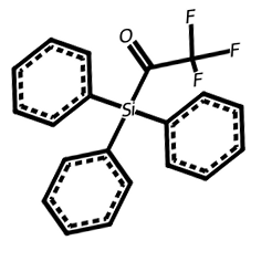 O=C(C(F)(F)F)[Si](c1ccccc1)(c1ccccc1)c1ccccc1